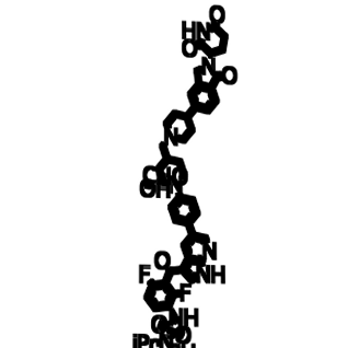 CC(C)N(C)S(=O)(=O)Nc1ccc(F)c(C(=O)c2c[nH]c3ncc(-c4ccc(N5CCC(CN6CCC(c7ccc8c(c7)CN([C@H]7CCC(=O)NC7=O)C8=O)CC6)CC5)cc4)cc23)c1F.O=CO